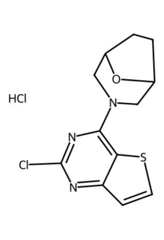 Cl.Clc1nc(N2CC3CCC(C2)O3)c2sccc2n1